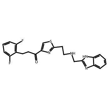 O=C(CCc1c(F)cccc1F)c1csc(CCNCc2nc3ccccc3[nH]2)n1